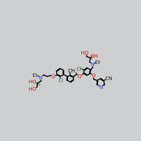 CCN(CCCOc1cccc(-c2cccc(COc3cc(OCc4cncc(C#N)c4)c(CN(CC)C[C@H](O)CO)cc3Cl)c2C)c1Cl)C[C@H](O)CO